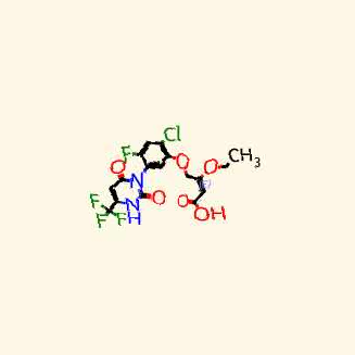 CCO/C(=C/C(=O)O)COc1cc(-n2c(=O)cc(C(F)(F)F)[nH]c2=O)c(F)cc1Cl